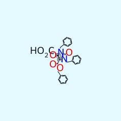 O=C(O)O[C@@H]1[C@H](C(=O)OCc2ccccc2)N(Cc2ccccc2)C(=O)N1Cc1ccccc1